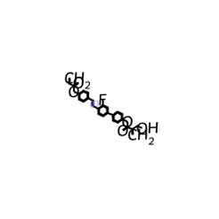 C=CC(=O)Oc1ccc(/C=C/c2ccc(-c3ccc(OC(=O)C(=C)CO)cc3)cc2F)cc1